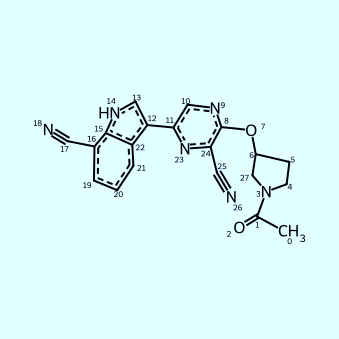 CC(=O)N1CCC(Oc2ncc(-c3c[nH]c4c(C#N)cccc34)nc2C#N)C1